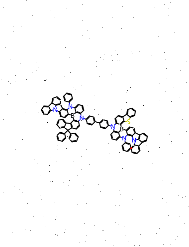 c1ccc(N2c3cccc4c3B(c3ccc5c(c32)c2cccc3c6ccccc6n5c32)c2c(ccc3c2-c2ccccc2C3(c2ccccc2)c2ccccc2)N4c2ccc(-c3ccc(N4c5cccc6c5B(c5ccc7c8cccc9c%10ccccc%10n(c7c5N6c5ccccc5)c98)c5c4ccc4c5sc5ccccc54)cc3)cc2)cc1